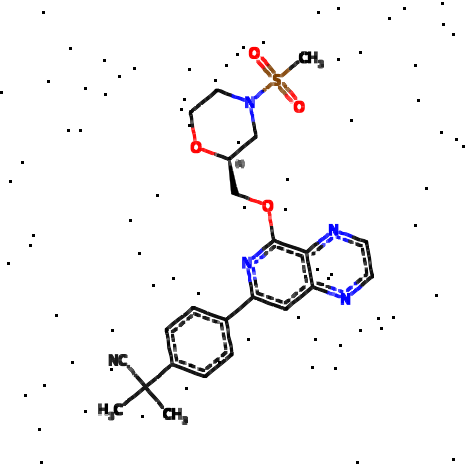 CC(C)(C#N)c1ccc(-c2cc3nccnc3c(OC[C@@H]3CN(S(C)(=O)=O)CCO3)n2)cc1